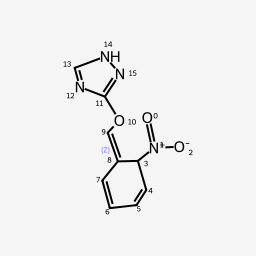 O=[N+]([O-])C1C=CC=C/C1=C/Oc1nc[nH]n1